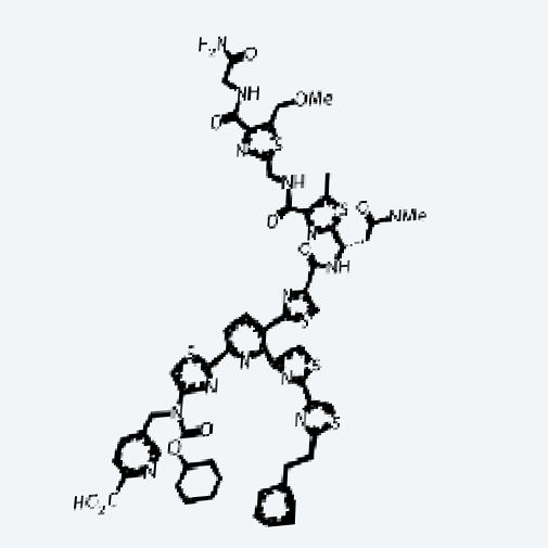 CNC(=O)C[C@H](NC(=O)c1csc(-c2ccc(-c3nc(N(Cc4ccc(C(=O)O)nc4)C(=O)OC4CCCCC4)cs3)nc2-c2csc(-c3csc(CCc4ccccc4)n3)n2)n1)c1nc(C(=O)NCc2nc(C(=O)NCC(N)=O)c(COC)s2)c(C)s1